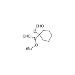 CC(C)(C)ON(C=O)C1(OC=O)CCCCC1